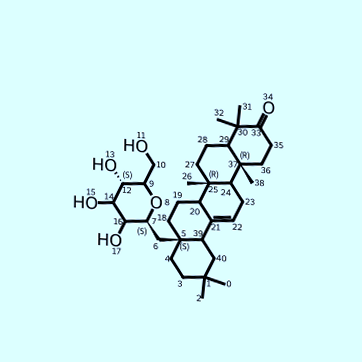 CC1(C)CC[C@]2(C[C@@H]3OC(CO)[C@@H](O)C(O)C3O)CCC3C(=CCC4[C@@]3(C)CCC3C(C)(C)C(=O)CC[C@@]34C)C2C1